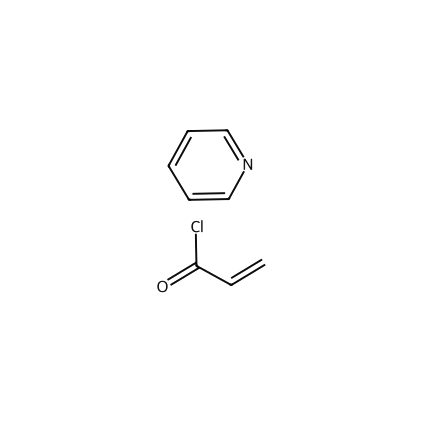 C=CC(=O)Cl.c1ccncc1